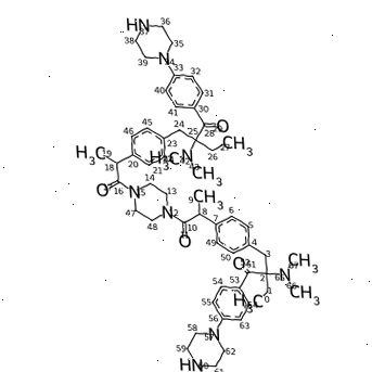 CCC(Cc1ccc(C(C)C(=O)N2CCN(C(=O)C(C)c3ccc(CC(CC)(C(=O)c4ccc(N5CCNCC5)cc4)N(C)C)cc3)CC2)cc1)(C(=O)c1ccc(N2CCNCC2)cc1)N(C)C